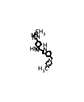 CN1CCN(Cc2ccc3[nH]c(-c4n[nH]c5cc(-c6nnn(C)n6)ccc45)cc3c2)CC1